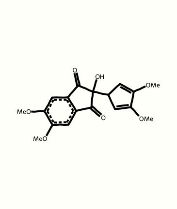 COC1=CC(C2(O)C(=O)c3cc(OC)c(OC)cc3C2=O)C=C1OC